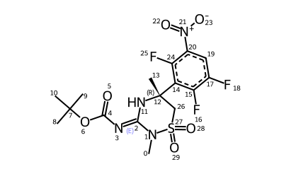 CN1/C(=N/C(=O)OC(C)(C)C)N[C@](C)(c2c(F)c(F)cc([N+](=O)[O-])c2F)CS1(=O)=O